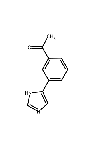 CC(=O)c1cccc(-c2cn[c][nH]2)c1